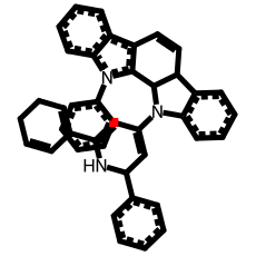 C1=CC(C2=CC(N3c4ccccc4C4C=Cc5c(n(-c6ccccc6)c6ccccc56)C43)=CC(c3ccccc3)N2)=CCC1